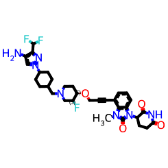 Cn1c(=O)n(C2CCC(=O)NC2=O)c2cccc(C#CCO[C@H]3CCN(CC4CCC(n5cc(N)c(C(F)F)n5)CC4)C[C@@H]3F)c21